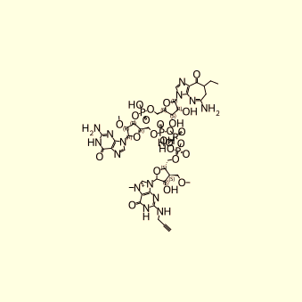 C#CCNc1nc2c(c(=O)[nH]1)[n+](C)cn2C1O[C@H](COP(=O)(O)OP(=O)(O)OP(=O)(O)OC[C@H]2O[C@@H](n3cnc4c(=O)[nH]c(N)nc43)[C@H](OC)[C@@H]2OP(=O)(O)OC[C@H]2O[C@@H](n3cnc4c3N=C(N)CC(CC)C4=O)[C@H](O)[C@@H]2O)[C@@H](COC)[C@H]1O